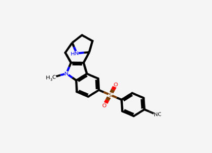 [C-]#[N+]c1ccc(S(=O)(=O)c2ccc3c(c2)c2c(n3C)CC3CCC2N3)cc1